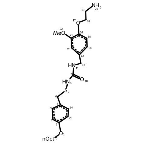 CCCCCCCCOc1ccc(CSNC(=O)NCc2ccc(OCCN)c(OC)c2)cc1